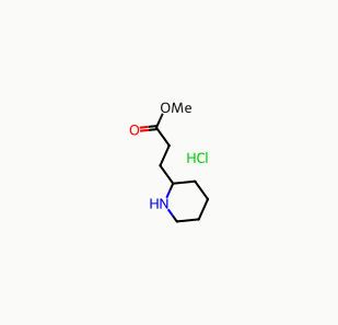 COC(=O)CCC1CCCCN1.Cl